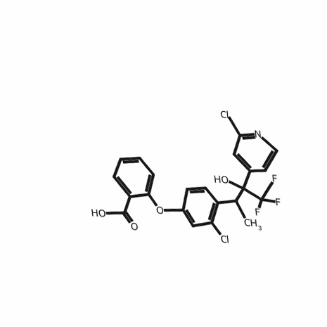 CC(c1ccc(Oc2ccccc2C(=O)O)cc1Cl)C(O)(c1ccnc(Cl)c1)C(F)(F)F